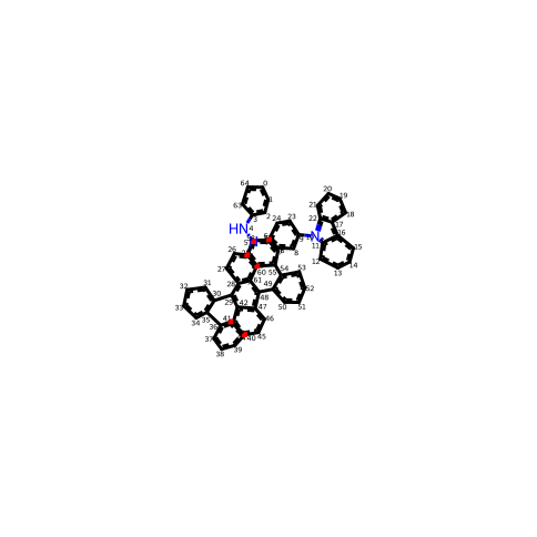 c1ccc(NN(c2ccc(-n3c4ccccc4c4ccccc43)cc2)c2ccc3c(-c4ccccc4-c4ccccc4)c4ccccc4c(-c4ccccc4-c4ccccc4)c3c2)cc1